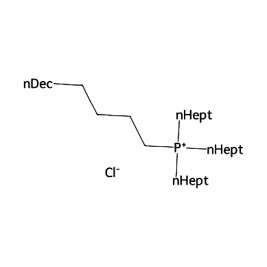 CCCCCCCCCCCCCC[P+](CCCCCCC)(CCCCCCC)CCCCCCC.[Cl-]